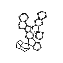 c1ccc(-c2cc3ccccc3cc2-n2c3cc4c(cc3c3ccc5ccccc5c32)C2(c3ccccc3-4)C3CC4CC(C3)CC2C4)nc1